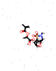 C=C(C)C(=O)OC(C)C(=O)OC1C2CC3C(O2)C1N(C)S3(=O)=O